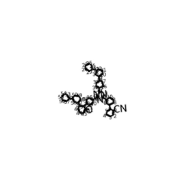 N#Cc1ccccc1-c1cccc(-c2nc(-c3ccc(-c4cccc(-c5ccccc5)c4)cc3)nc(-c3ccc4c(c3)oc3cccc(-c5cccc(-c6ccccc6)c5)c34)n2)c1